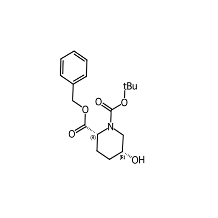 CC(C)(C)OC(=O)N1C[C@H](O)CC[C@@H]1C(=O)OCc1ccccc1